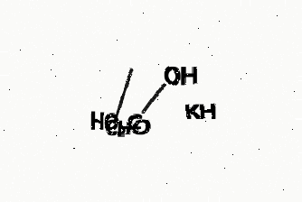 CC=O.O=C(O)O.[KH]